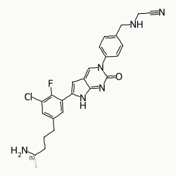 C[C@H](N)CCCc1cc(Cl)c(F)c(-c2cc3cn(-c4ccc(CNCC#N)cc4)c(=O)nc3[nH]2)c1